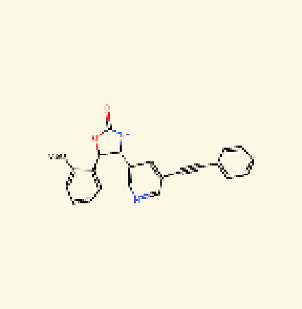 COc1ccccc1[C@H]1OC(=O)N[C@@H]1c1cncc(C#Cc2ccccc2)c1